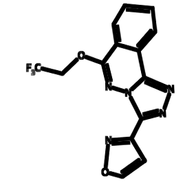 FC(F)(F)COc1nn2c(-c3ccon3)nnc2c2ccccc12